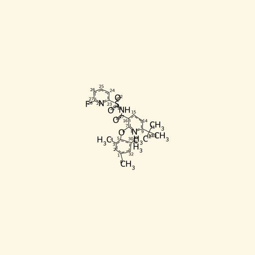 Cc1cc(C)c(Oc2nc(C(C)(C)C)ccc2C(=O)NS(=O)(=O)c2cccc(F)n2)c(C)c1